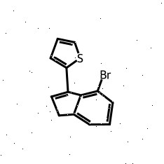 Brc1cccc2c1C(c1cccs1)=CC2